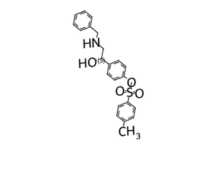 Cc1ccc(S(=O)(=O)Oc2ccc([C@H](O)CNCc3ccccc3)cc2)cc1